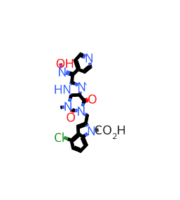 CN1C(=O)N(Cc2cc3c(Cl)cccc3n2C(=O)O)C(=O)C2C1NC(C(=NO)c1ccncc1)N2C